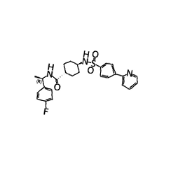 C[C@@H](NC(=O)[C@H]1CC[C@H](NS(=O)(=O)c2ccc(-c3ccccn3)cc2)CC1)c1ccc(F)cc1